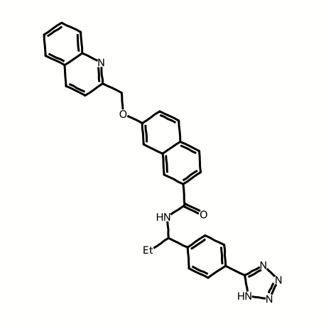 CCC(NC(=O)c1ccc2ccc(OCc3ccc4ccccc4n3)cc2c1)c1ccc(-c2nnn[nH]2)cc1